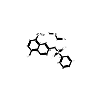 COC=O.COc1ccc(Br)c2ccc(CS(=O)(=O)c3ccccc3)cc12